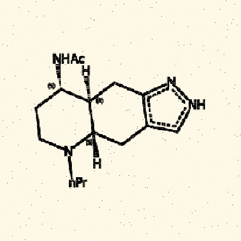 CCCN1CC[C@H](NC(C)=O)[C@H]2Cc3n[nH]cc3C[C@@H]21